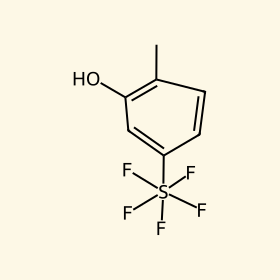 Cc1ccc(S(F)(F)(F)(F)F)cc1O